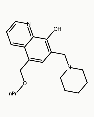 CCCOCc1cc(CN2CCCCC2)c(O)c2ncccc12